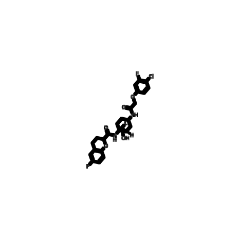 O=C(COc1ccc(Cl)c(F)c1)NC12CCC(NC(=O)C3CCc4cc(F)ccc4O3)(CC1)[C@@H](O)C2